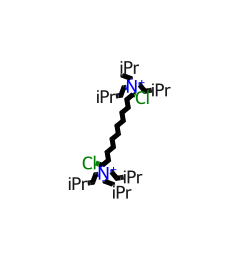 CC(C)CC[N+](CCC(C)C)(CCC(C)C)C(Cl)CCCCCCCCCCC(Cl)[N+](CCC(C)C)(CCC(C)C)CCC(C)C